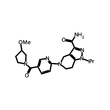 COC1CCN(C(=O)c2ccc(N3CCc4c(c(C(N)=O)nn4C(C)C)C3)nc2)C1